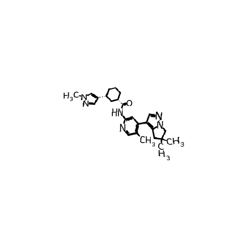 Cc1cnc(NC(=O)[C@H]2CCC[C@@H](c3cnn(C)c3)C2)cc1-c1cnn2c1CC(C)(C)C2